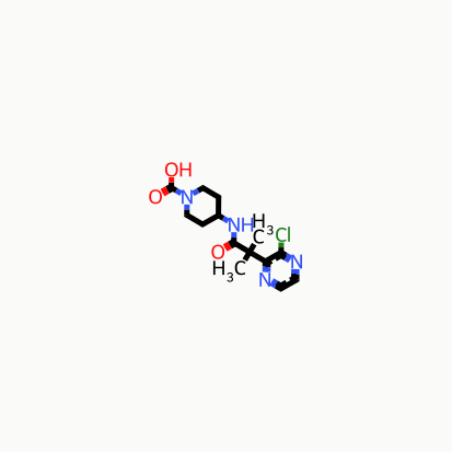 CC(C)(C(=O)NC1CCN(C(=O)O)CC1)c1nccnc1Cl